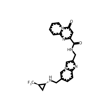 O=C(NCc1cn2cc(CN[C@@H]3C[C@H]3C(F)(F)F)ccc2n1)c1cc(=O)n2ccccc2n1